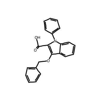 O=C(O)c1c(OCc2ccccc2)c2ccccc2n1-c1ccccc1